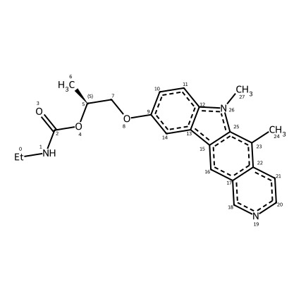 CCNC(=O)O[C@@H](C)COc1ccc2c(c1)c1cc3cnccc3c(C)c1n2C